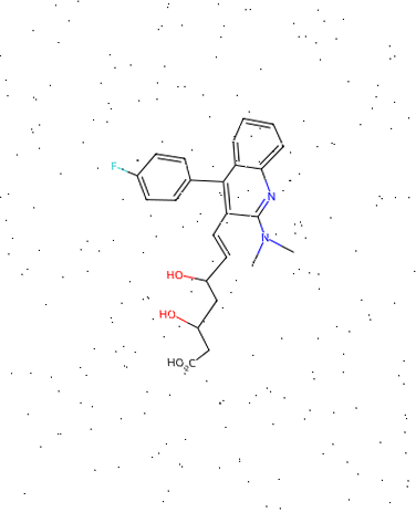 CN(C)c1nc2ccccc2c(-c2ccc(F)cc2)c1/C=C/C(O)CC(O)CC(=O)O